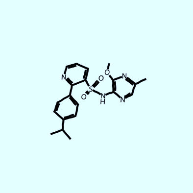 COc1nc(C)cnc1NS(=O)(=O)c1cccnc1-c1ccc(C(C)C)cc1